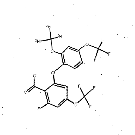 [2H]C([2H])([2H])Oc1cc(OC(F)(F)F)ccc1Oc1cc(OC(F)(F)F)cc(F)c1C(=O)Cl